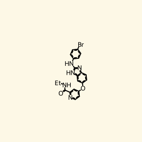 CCNC(=O)c1cc(Oc2ccc3nc(Nc4ccc(Br)cc4)[nH]c3c2)ccn1